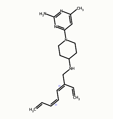 C=C/C=C\C=C(/C=C)CNC1CCN(c2cc(C)nc(N)n2)CC1